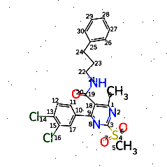 Cc1nc(S(C)(=O)=O)nc(-c2ccc(Cl)c(Cl)c2)c1C(=O)NCCCc1ccccc1